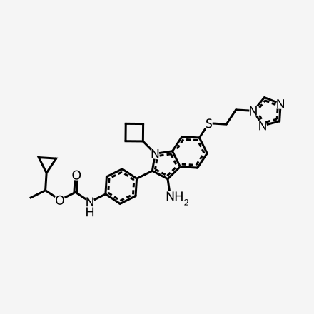 CC(OC(=O)Nc1ccc(-c2c(N)c3ccc(SCCn4cncn4)cc3n2C2CCC2)cc1)C1CC1